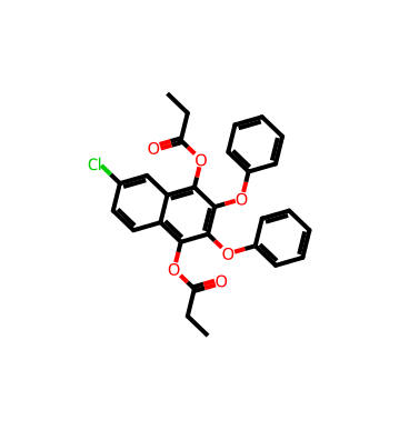 CCC(=O)Oc1c(Oc2ccccc2)c(Oc2ccccc2)c(OC(=O)CC)c2cc(Cl)ccc12